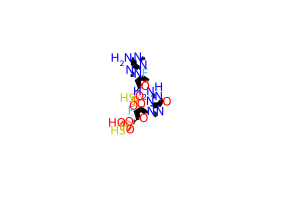 Nc1nc2c(ncn2[C@@H]2O[C@H](COP(=O)(O)S)[C@@H](F)[C@@H]2OP(=O)(S)OC[C@@H]2C[C@@](F)(n3cnc4c(N)ncnc43)CO2)c(=O)[nH]1